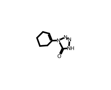 O=c1[nH]nnn1C1=CCCCC1